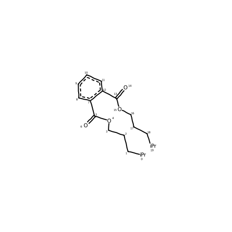 CC(C)CCCOC(=O)c1ccccc1C(=O)OCCCC(C)C